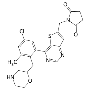 Cc1cc(Cl)cc(-c2ncnc3cc(CN4C(=O)CCC4=O)sc23)c1CC1CNCCO1